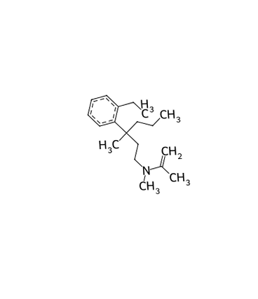 C=C(C)N(C)CCC(C)(CCC)c1ccccc1CC